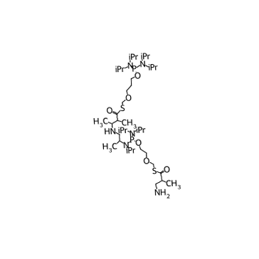 CC(CN)C(=O)SCOCCOP(N(C(C)C)C(C)C)N(C(C)C)C(C)CNC(C)C(C)C(=O)SCOCCCOP(N(C(C)C)C(C)C)N(C(C)C)C(C)C